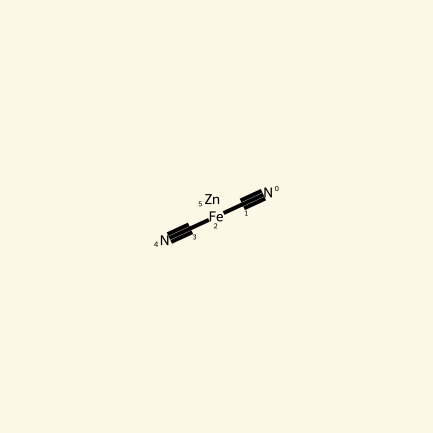 N#[C][Fe][C]#N.[Zn]